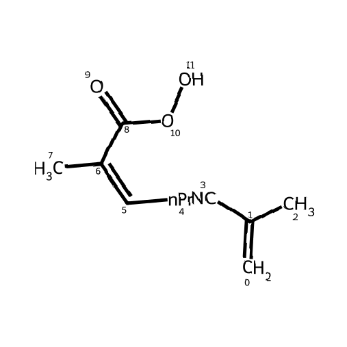 C=C(C)C#N.CCCC=C(C)C(=O)OO